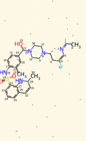 C/C=N\C=C(\F)CCN1CCN([C@H](O)c2ccc(NS(=O)(=O)c3cccc4c3NC(C)C=C4)c(C)c2)CC1